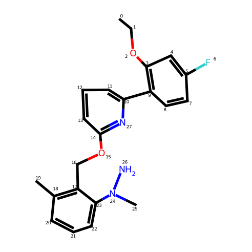 CCOc1cc(F)ccc1-c1cccc(OCc2c(C)cccc2N(C)N)n1